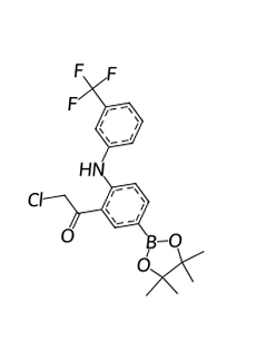 CC1(C)OB(c2ccc(Nc3cccc(C(F)(F)F)c3)c(C(=O)CCl)c2)OC1(C)C